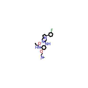 C=CC(=O)Nc1cc(Nc2cn3c(-c4cccc(F)c4)ccc3cn2)ccc1OCCN(C)C